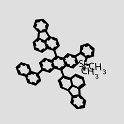 C[Si]1(C)c2ccccc2-c2cc3c(-c4ccc5c6c(cccc46)-c4ccccc4-5)c4ccc(-c5cccc6ccccc56)cc4c(C4=C5C=CC=C6c7ccccc7C(C=C4)C65)c3cc21